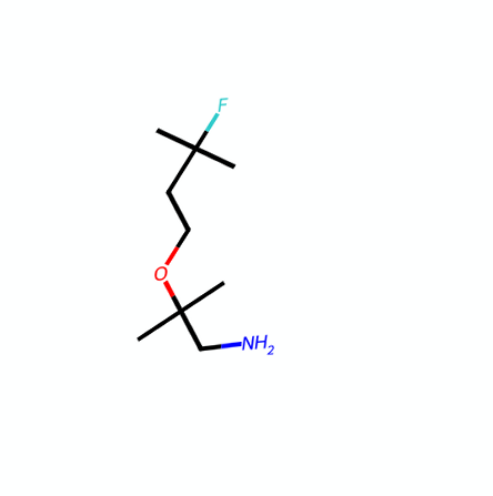 CC(C)(F)CCOC(C)(C)CN